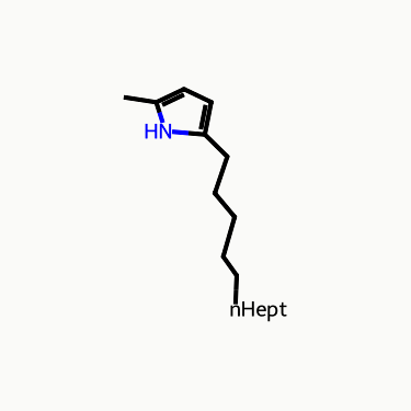 CCCCCCCCCCCCc1ccc(C)[nH]1